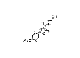 COc1ccc(-c2nc(C(=O)NCCO)c(C)o2)cc1